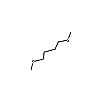 CSCCCCSC